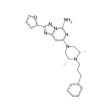 C[C@@H]1CN(c2cc3nc(-c4ccco4)nn3c(N)n2)C[C@H](C)N1CCCc1ccccc1